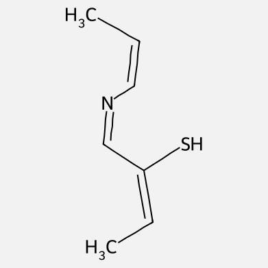 C\C=C/N=C\C(S)=C/C